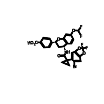 O=C(O)c1ccc([C@H]2C[C@@H](NC(=O)C3(c4cc5c(cc4Br)OC(F)(F)O5)CC3)c3ccc(OC(F)F)cc3O2)cc1